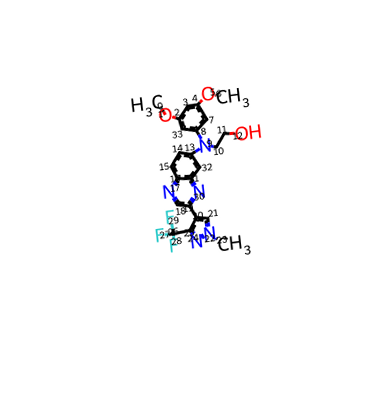 COc1cc(OC)cc(N(CCO)c2ccc3ncc(-c4cn(C)nc4C(F)(F)F)nc3c2)c1